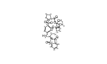 Cc1ccc(S(=O)(=O)N2CCC[C@H]2C(=O)OC(C)(C)C)c(O[C@@H]2CC[C@@H]2CCCN2C(=O)c3ccccc3C2=O)c1